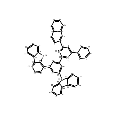 c1ccc(-c2cc(-c3ccc4ccccc4c3)nc(-c3cc(-c4ccnc5c4oc4ccccc45)cc(-n4c5ccccc5c5ccccc54)c3)n2)cc1